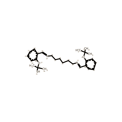 CC(C)(C)Oc1ccccc1/C=N/CCCCCC/N=C/c1ccccc1OC(C)(C)S